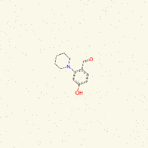 O=Cc1ccc(O)cc1N1CCCCC1